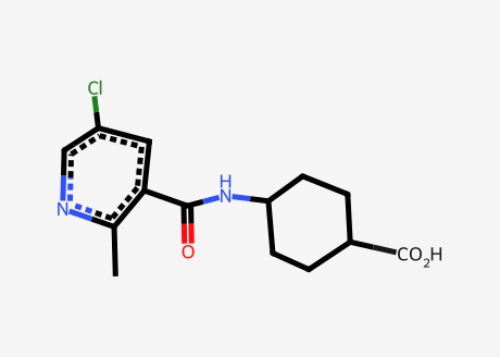 Cc1ncc(Cl)cc1C(=O)NC1CCC(C(=O)O)CC1